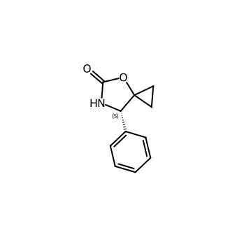 O=C1N[C@@H](c2ccccc2)C2(CC2)O1